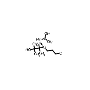 CC(C)(O)C(C)(C)OCCCCl.OB(O)O